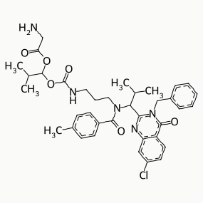 Cc1ccc(C(=O)N(CCCNC(=O)OC(OC(=O)CN)C(C)C)C(c2nc3cc(Cl)ccc3c(=O)n2Cc2ccccc2)C(C)C)cc1